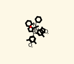 COc1c(C)cc(P(c2cc(C)c(OC)c(C)c2)C2CCCC2C(C)(NC2CCCC2)N(C2CCCCC2)C2CCCCC2)cc1C